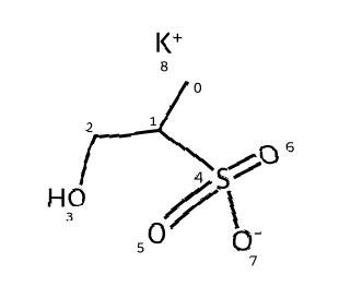 CC(CO)S(=O)(=O)[O-].[K+]